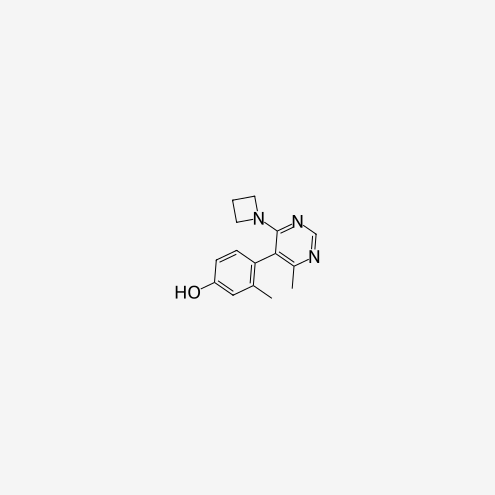 Cc1cc(O)ccc1-c1c(C)ncnc1N1CCC1